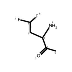 CC(=O)C(N)CC(F)F